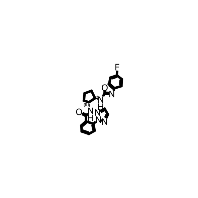 O=C(N[C@@H]1CCC[C@@H]1Nc1nc2ccc(F)cc2o1)c1ccccc1-n1nccn1